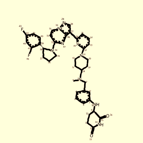 CN(Cc1cccc(NC2CCC(=O)NC2=O)c1)C1CCN(c2cccc(-c3cnn4ccc(N5CCC[C@@H]5c5ccc(F)cc5F)nc34)n2)CC1